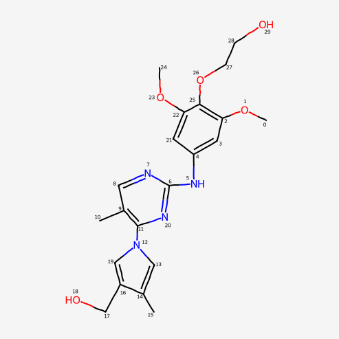 COc1cc(Nc2ncc(C)c(-n3cc(C)c(CO)c3)n2)cc(OC)c1OCCO